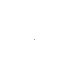 Nc1ccc(NCCO)c(-c2cc(O)ccc2O)c1